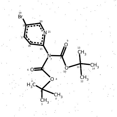 CC(C)(C)OC(=O)N(C(=O)OC(C)(C)C)c1ccc(Br)cn1